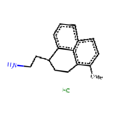 COc1ccc2cccc3c2c1CCC3CCN.Cl